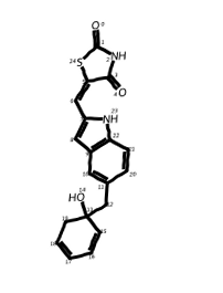 O=C1NC(=O)/C(=C\c2cc3cc(CC4(O)C=CC=CC4)ccc3[nH]2)S1